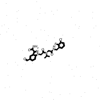 CC(C)N(CC(=O)NCc1cccc(Cl)c1F)C(=O)Cn1nc(C(N)=O)c2cc(C=O)ccc21